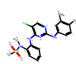 COc1ccc(Nc2ncc(F)c(Nc3ccccc3N(C)S(C)(=O)=O)n2)cc1OC